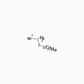 COCCBr.[Ni]